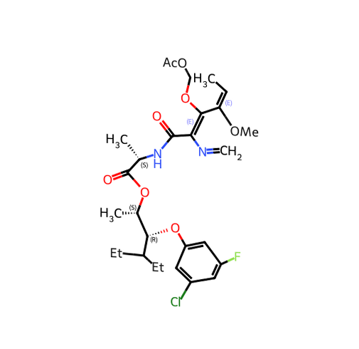 C=N/C(C(=O)N[C@@H](C)C(=O)O[C@@H](C)[C@H](Oc1cc(F)cc(Cl)c1)C(CC)CC)=C(OCOC(C)=O)\C(=C/C)OC